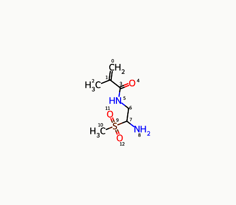 C=C(C)C(=O)NCC(N)S(C)(=O)=O